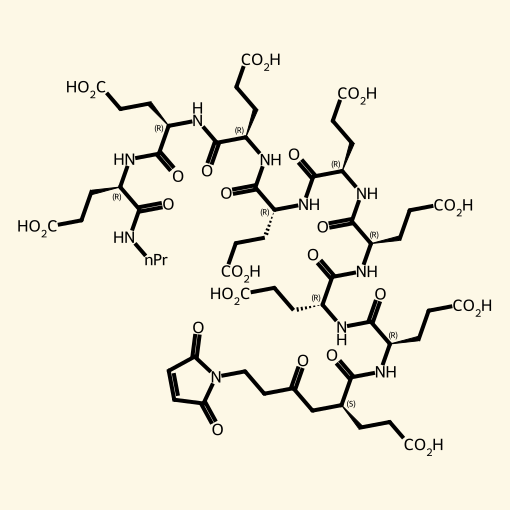 CCCNC(=O)[C@@H](CCC(=O)O)NC(=O)[C@@H](CCC(=O)O)NC(=O)[C@@H](CCC(=O)O)NC(=O)[C@@H](CCC(=O)O)NC(=O)[C@@H](CCC(=O)O)NC(=O)[C@@H](CCC(=O)O)NC(=O)[C@@H](CCC(=O)O)NC(=O)[C@@H](CCC(=O)O)NC(=O)[C@@H](CCC(=O)O)CC(=O)CCN1C(=O)C=CC1=O